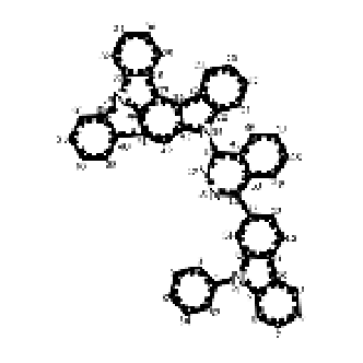 c1ccc(-n2c3ccccc3c3ccc(-c4nnc(-n5c6ccccc6c6c7c8ccccc8n8c9ccccc9c(cc65)c78)c5ccccc45)cc32)cc1